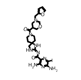 Nc1nc(N)c(C(=O)/N=C2\NCC3(CCN(C(=O)C4COCN(Cc5ccco5)C4)CC3)N2)nc1I